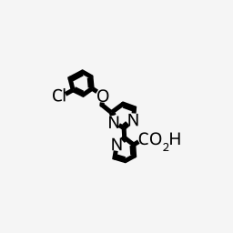 O=C(O)c1cccnc1-c1nccc(COc2cccc(Cl)c2)n1